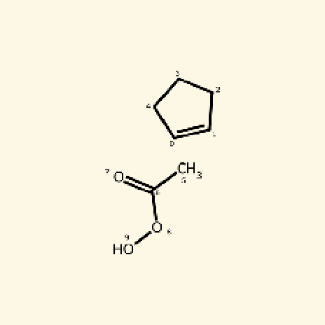 C1=CCCC1.CC(=O)OO